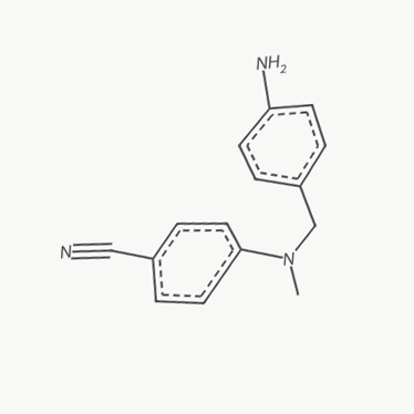 CN(Cc1ccc(N)cc1)c1ccc(C#N)cc1